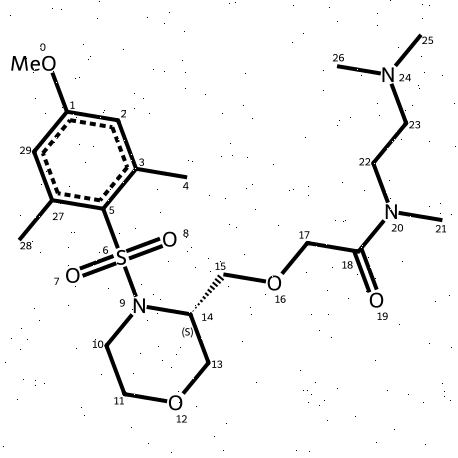 COc1cc(C)c(S(=O)(=O)N2CCOC[C@H]2COCC(=O)N(C)CCN(C)C)c(C)c1